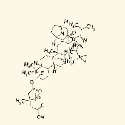 Cc1nnc(C(C)C)n1[C@H]1C[C@H]2CC[C@@H](C1)N2C(=O)[C@]12CC[C@@H](C3(C)CC3)[C@@H]1[C@H]1CC[C@@H]3[C@@]4(C)CC[C@H](OC(=O)CC(C)(C)CC(=O)O)C(C)(C)[C@@H]4CC[C@@]3(C)[C@]1(C)CC2